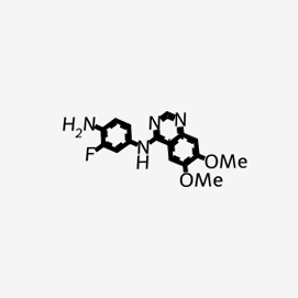 COc1cc2ncnc(Nc3ccc(N)c(F)c3)c2cc1OC